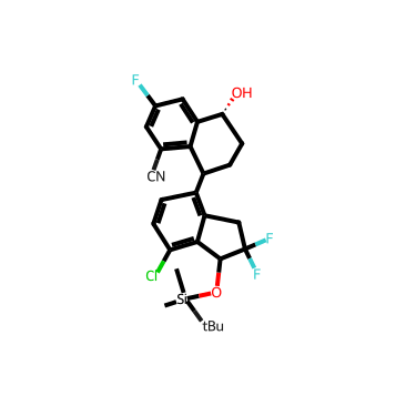 CC(C)(C)[Si](C)(C)OC1c2c(Cl)ccc(C3CC[C@@H](O)c4cc(F)cc(C#N)c43)c2CC1(F)F